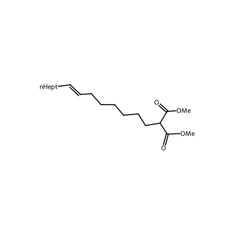 CCCCCCC/C=C/CCCCCCC(C(=O)OC)C(=O)OC